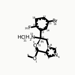 COC(=O)c1cncn1C[C@](C)(N)c1cc(Br)ccc1F.Cl